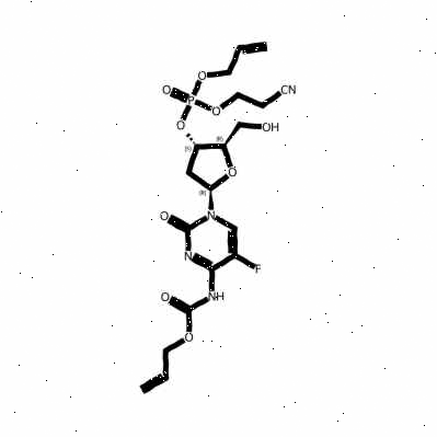 C=CCOC(=O)Nc1nc(=O)n([C@H]2C[C@H](OP(=O)(OCC=C)OCCC#N)[C@@H](CO)O2)cc1F